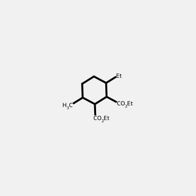 CCOC(=O)C1C(C)CCC(CC)C1C(=O)OCC